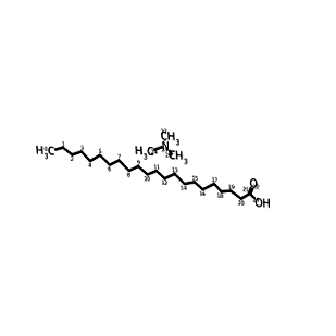 CCCCCCCCCCCCCCCCCCCCCC(=O)O.CN(C)C